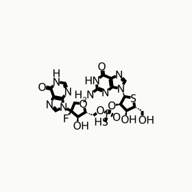 Nc1nc2c(ncn2[C@@H]2S[C@H](CO)[C@@H](O)[C@H]2OP(=O)(S)OC[C@H]2OC[C@@](F)(n3cnc4c(=O)[nH]cnc43)[C@@H]2O)c(=O)[nH]1